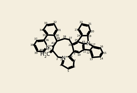 C=C1C[n+]2ccccc2-c2cc3c4ccccc4n4c5ccccc5c(c2CCC2c5ccccc5-c5cccc[n+]5C12)c34